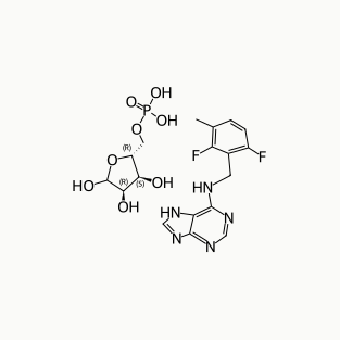 Cc1ccc(F)c(CNc2ncnc3nc[nH]c23)c1F.O=P(O)(O)OC[C@H]1OC(O)[C@H](O)[C@@H]1O